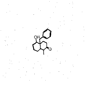 CC1C(=O)CCC2(Cc3ccccc3)C(O)CCCC12